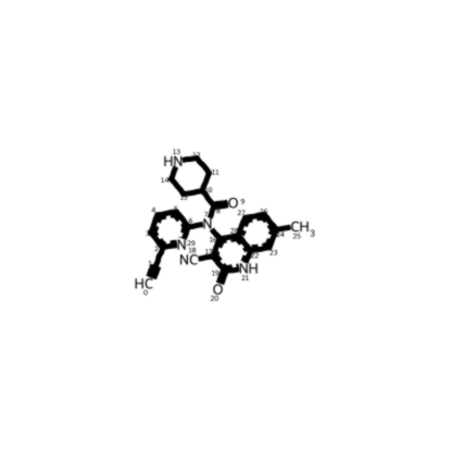 C#Cc1cccc(N(C(=O)C2CCNCC2)c2c(C#N)c(=O)[nH]c3cc(C)ccc23)n1